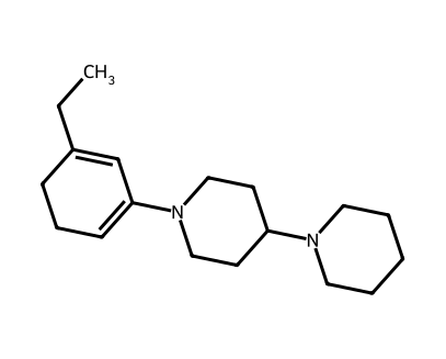 CCC1=CC(N2CCC(N3CCCCC3)CC2)=CCC1